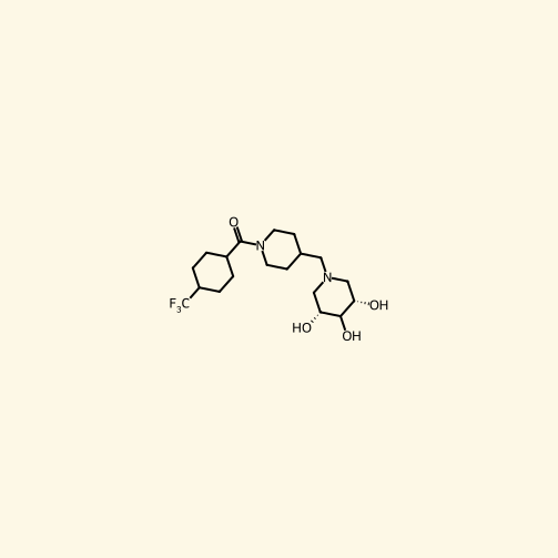 O=C(C1CCC(C(F)(F)F)CC1)N1CCC(CN2C[C@@H](O)C(O)[C@@H](O)C2)CC1